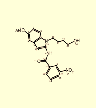 COc1ccc2c(c1)nc(NC(=O)c1cccc([N+](=O)[O-])c1)n2CCCCO